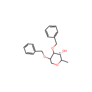 CC1OCC(OCc2ccccc2)C(OCc2ccccc2)[C@@H]1O